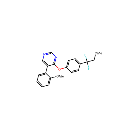 COCC(F)(F)c1ccc(Oc2ncncc2-c2ccccc2OC)cc1